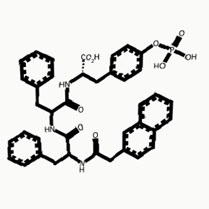 O=C(Cc1ccc2ccccc2c1)NC(Cc1ccccc1)C(=O)NC(Cc1ccccc1)C(=O)N[C@@H](Cc1ccc(OP(=O)(O)O)cc1)C(=O)O